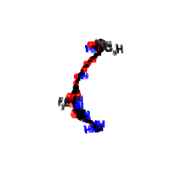 Cc1cc(OCCCC(=O)NCCCOCCOCCOCCCCC(CS(=O)(=O)O)NC(=O)OC(C)(C)C)cc(C)c1S(=O)(=O)NC(CNC(=O)c1ccc2c(cnn2CCCNc2ncc[nH]2)c1)C(=O)OC(=O)C(F)(F)F